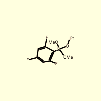 CO[Si](OC)(OC(C)C)c1c(F)cc(F)cc1F